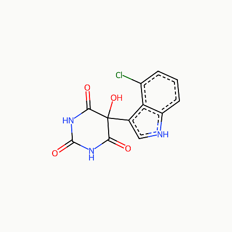 O=C1NC(=O)C(O)(c2c[nH]c3cccc(Cl)c23)C(=O)N1